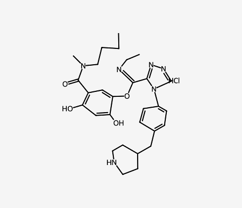 CCCCN(C)C(=O)c1cc(OC(=NCC)c2nncn2-c2ccc(CC3CCNCC3)cc2)c(O)cc1O.Cl